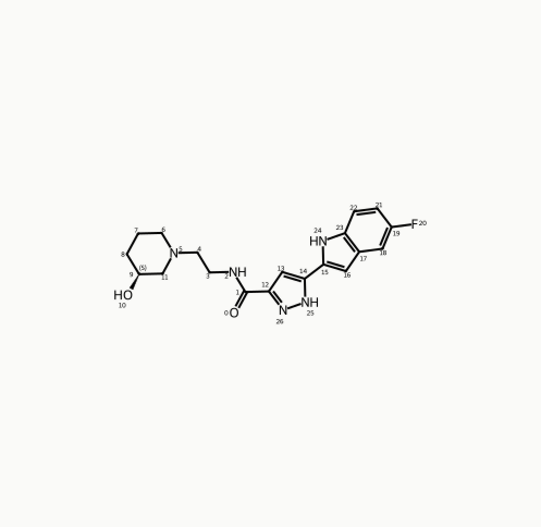 O=C(NCCN1CCC[C@H](O)C1)c1cc(-c2cc3cc(F)ccc3[nH]2)[nH]n1